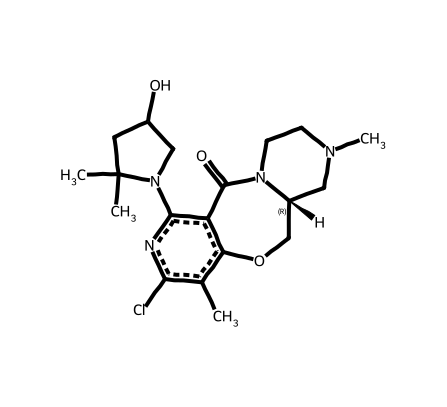 Cc1c(Cl)nc(N2CC(O)CC2(C)C)c2c1OC[C@H]1CN(C)CCN1C2=O